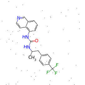 CC(Cc1ccc(C(F)(F)F)cc1)NC(=O)Nc1cccc2cnccc12